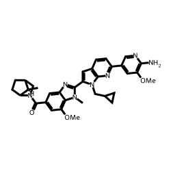 COc1cc(-c2ccc3cc(-c4nc5cc(C(=O)N6CC7CCC6[C@@H]7C)cc(OC)c5n4C)n(CC4CC4)c3n2)cnc1N